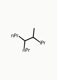 CCCC(CCC)[C](C)C(C)C